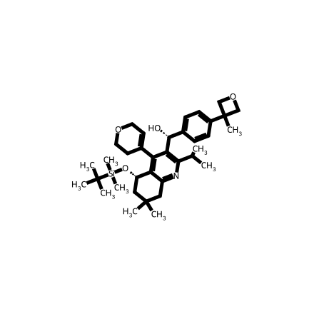 CC(C)c1nc2c(c(C3=CCOCC3)c1[C@H](O)c1ccc(C3(C)COC3)cc1)[C@@H](O[Si](C)(C)C(C)(C)C)CC(C)(C)C2